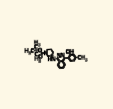 Cc1ccc(-c2nnc(N[C@@H]3CCCN(C(=O)OC(C)(C)C)C3)c3ccccc23)c(O)c1